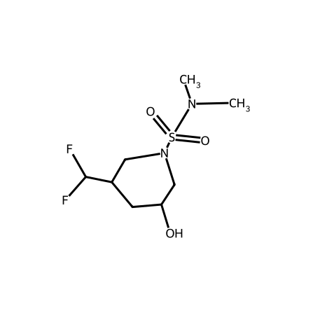 CN(C)S(=O)(=O)N1CC(O)CC(C(F)F)C1